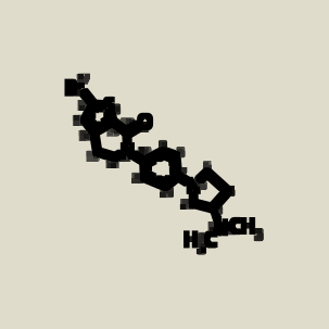 CN(C)[C@@H]1CCN(c2ccc(N3CCc4cc(Br)sc4C3=O)cc2)C1